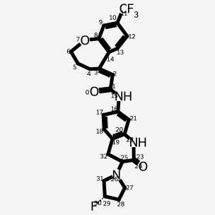 O=C(/C=C1\CCCOc2cc(C(F)(F)F)ccc21)Nc1ccc2c(c1)NC(=O)C(N1CC[C@H](F)C1)C2